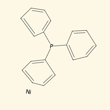 [Ni].c1ccc(P(c2ccccc2)c2ccccc2)cc1